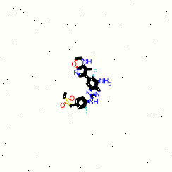 CCS(=O)(=O)Cc1ccc(Nc2ncc3c(N)c(F)c(-c4cnc5c(c4C)NCCO5)cc3n2)c(F)c1